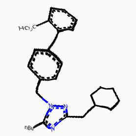 CCCCc1nc(CC2CCCCC2)nn1Cc1ccc(-c2ccccc2C(=O)O)cc1